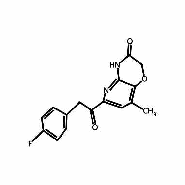 Cc1cc(C(=O)Cc2ccc(F)cc2)nc2c1OCC(=O)N2